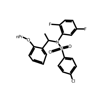 [CH2]CCOc1ccccc1C(C)N(c1cc(F)ccc1F)S(=O)(=O)c1ccc(Cl)cc1